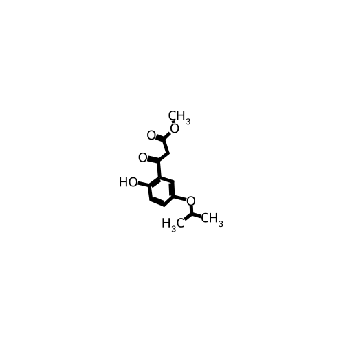 COC(=O)CC(=O)c1cc(OC(C)C)ccc1O